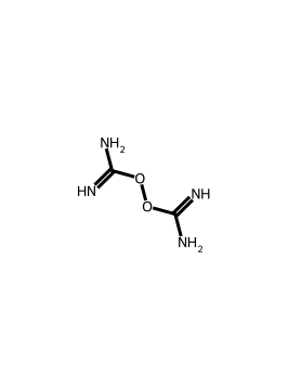 N=C(N)OOC(=N)N